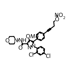 COc1c(C(=O)NN2CCOCC2)nn(-c2ccc(Cl)cc2Cl)c1-c1ccc(C#CCCO[N+](=O)[O-])cc1